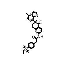 CCS(=O)(=O)c1ccc(CC(=O)Nc2ccc3c(n2)CCC(C)(c2ncc(C)n4ccnc24)C3=O)cc1